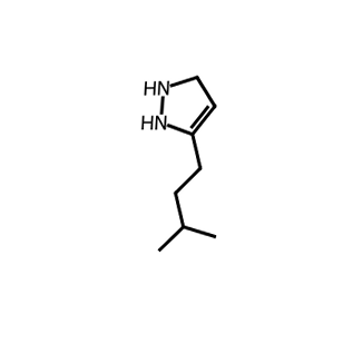 CC(C)CCC1=CCNN1